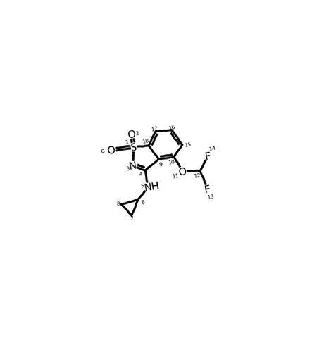 O=S1(=O)N=C(NC2CC2)c2c(OC(F)F)cccc21